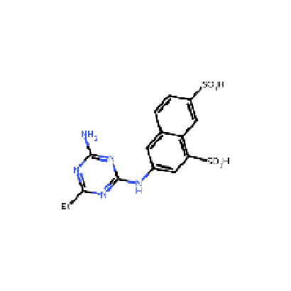 CCc1nc(N)nc(Nc2cc(S(=O)(=O)O)c3cc(S(=O)(=O)O)ccc3c2)n1